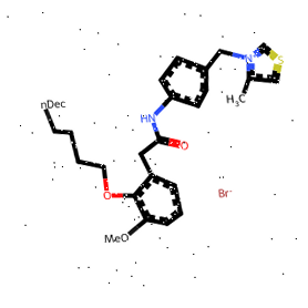 CCCCCCCCCCCCCCOc1c(CC(=O)Nc2ccc(C[n+]3cscc3C)cc2)cccc1OC.[Br-]